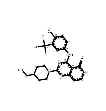 O=c1[nH]ccc2nc(N3CCC(CO)CC3)nc(Nc3ccc(Cl)c(C(F)(F)F)c3)c12